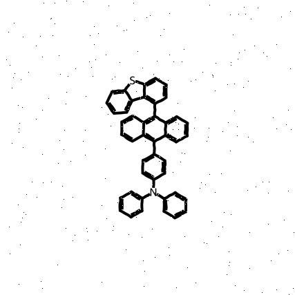 c1ccc(N(c2ccccc2)c2ccc(-c3c4ccccc4c(-c4cccc5sc6ccccc6c45)c4ccccc34)cc2)cc1